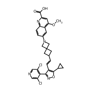 COc1cc(C(=O)O)nc2ccc(N3CC4(CC(C=Cc5c(-c6c(Cl)cncc6Cl)noc5C5CC5)C4)C3)cc12